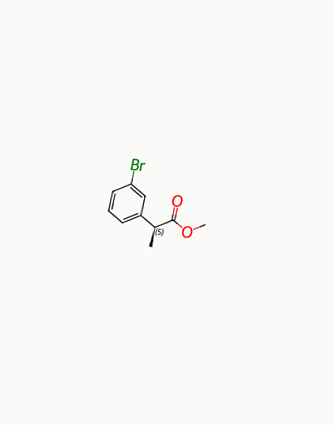 COC(=O)[C@@H](C)c1cccc(Br)c1